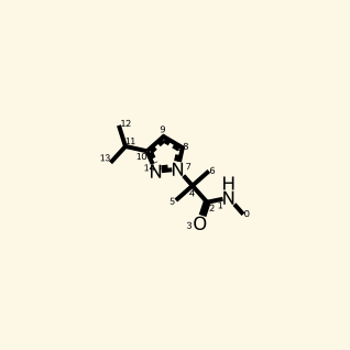 CNC(=O)C(C)(C)n1ccc(C(C)C)n1